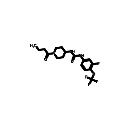 CCCC(=O)N1CCC(NC(=O)Nc2ccc(OC(F)(F)F)c(F)c2)CC1